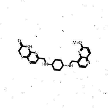 COc1ccc2nccc(CN[C@H]3CC[C@H](NCc4cnc5c(n4)NC(=O)CS5)CC3)c2n1